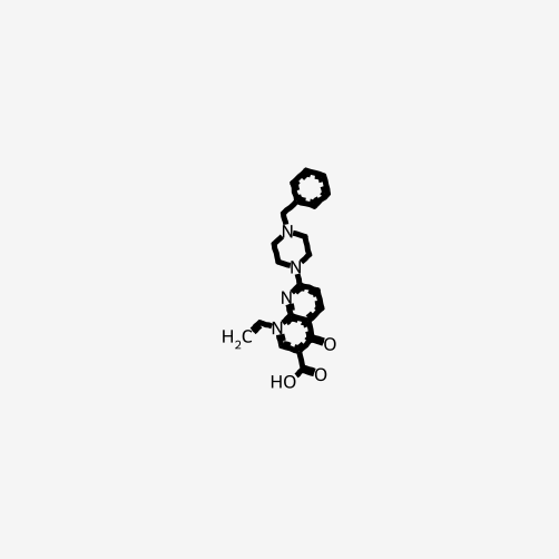 C=Cn1cc(C(=O)O)c(=O)c2ccc(N3CCN(Cc4ccccc4)CC3)nc21